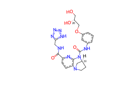 O=C(NCc1nnn[nH]1)c1ccc2c(n1)N(C(=O)Nc1cccc(OC[C@H](O)CO)c1)[C@H]1CCN2C1